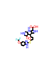 O=C1CNCC2=C1C(c1ccc(Sc3nc4cc(OC(F)F)ccc4[nH]3)o1)c1c[nH]c(C(=O)O)c1N2